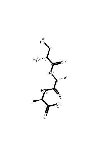 C[C@@H](NC(=O)[C@@H](C)NC(=O)[C@H](N)CS)C(=O)O